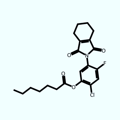 CCCCCCC(=O)Oc1cc(N2C(=O)C3=C(CCCC3)C2=O)c(F)cc1Cl